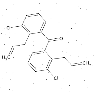 C=CCc1c(Cl)cccc1C(=O)c1cccc(Cl)c1CC=C